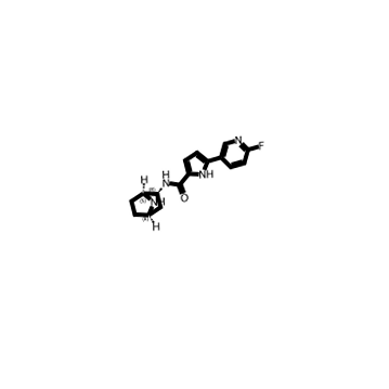 O=C(N[C@@H]1C[C@H]2CC[C@@H]1N2)c1ccc(-c2ccc(F)nc2)[nH]1